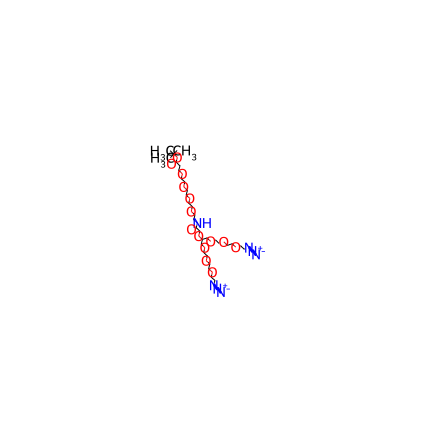 CC(C)(C)OC(=O)CCOCCOCCOCCOCCNC(=O)COC(COCCOCCOCCN=[N+]=[N-])COCCOCCOCCN=[N+]=[N-]